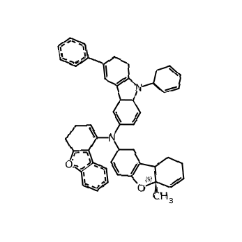 C[C@]12C=CCCC1C1=C(C=CC(N(C3=CC4C5=C(CCC(c6ccccc6)=C5)N(C5C=CC=CC5)C4C=C3)C3=CCCc4oc5ccccc5c43)C1)O2